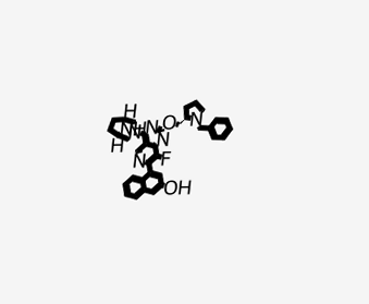 Oc1cc(-c2ncc3c(N4C[C@H]5CC[C@@H](C4)N5)nc(OC[C@@H]4CCCN4Cc4ccccc4)nc3c2F)c2ccccc2c1